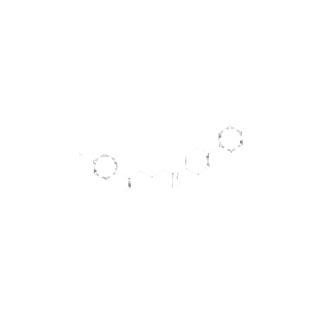 O=C(CCCNC1CC=C(c2ccccc2)CC1)c1ccc(F)cc1